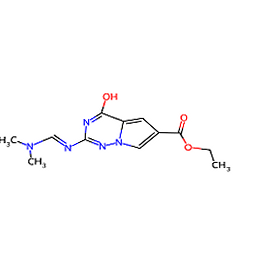 CCOC(=O)c1cc2c(O)nc(/N=C/N(C)C)nn2c1